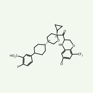 O=C(O)c1cc(C2CCN([C@@H]3CC[C@@](C(=O)C4COc5c(cc(Cl)cc5C(F)(F)F)N4)(C4CC4)OC3)CC2)ccc1F